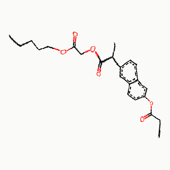 CCCCCOC(=O)COC(=O)C(C)c1ccc2cc(OC(=O)CC)ccc2c1